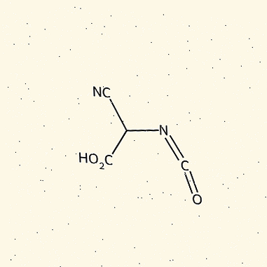 N#CC(N=C=O)C(=O)O